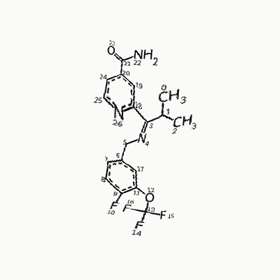 CC(C)C(=NCc1ccc(F)c(OC(F)(F)F)c1)c1cc(C(N)=O)ccn1